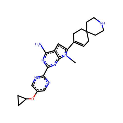 Cn1c(C2=CCC3(CCNCC3)CC2)cc2c(N)nc(-c3ncc(OC4CC4)cn3)nc21